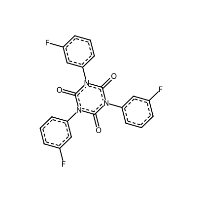 O=c1n(-c2cccc(F)c2)c(=O)n(-c2cccc(F)c2)c(=O)n1-c1cccc(F)c1